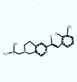 Cc1cccc(/C=C(\F)c2cc3c(cn2)CN(C[C@@H](C)O)CC3)c1Cl